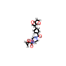 O=C(c1ccc(-c2coc3ccoc23)cc1)N1CCN(C(=O)C2(O)CC2)CC1